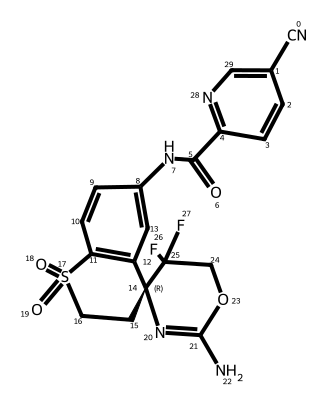 N#Cc1ccc(C(=O)Nc2ccc3c(c2)[C@@]2(CCS3(=O)=O)N=C(N)OCC2(F)F)nc1